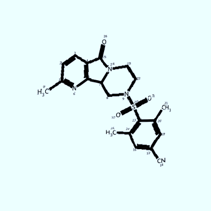 Cc1ccc2c(n1)C1CN(S(=O)(=O)c3c(C)cc(C#N)cc3C)CCN1C2=O